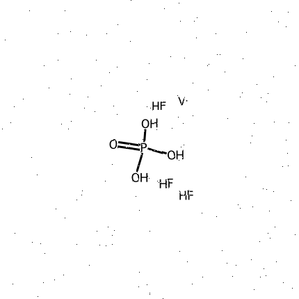 F.F.F.O=P(O)(O)O.[V]